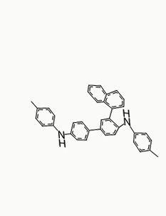 Cc1ccc(Nc2ccc(-c3ccc(Nc4ccc(C)cc4)c(-c4cccc5ccccc45)c3)cc2)cc1